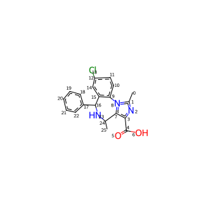 Cc1nc(C(=O)O)c2n1-c1ccc(Cl)cc1C(c1ccccc1)NC2C